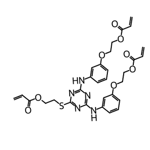 C=CC(=O)OCCOc1cccc(Nc2nc(Nc3cccc(OCCOC(=O)C=C)c3)nc(SCCOC(=O)C=C)n2)c1